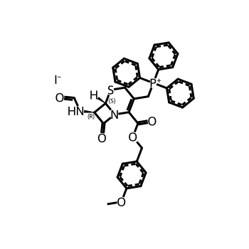 COc1ccc(COC(=O)C2=C(C[P+](c3ccccc3)(c3ccccc3)c3ccccc3)CS[C@H]3[C@H](NC=O)C(=O)N23)cc1.[I-]